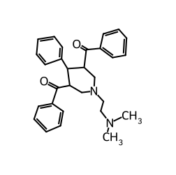 CN(C)CCN1CC(C(=O)c2ccccc2)C(c2ccccc2)C(C(=O)c2ccccc2)C1